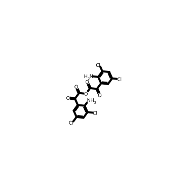 Nc1c(Cl)cc(Cl)cc1C(=O)C(=O)OC(=O)C(=O)c1cc(Cl)cc(Cl)c1N